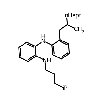 CCCCCCCC(C)Cc1ccccc1Nc1ccccc1NCCCC(C)C